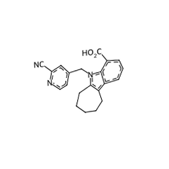 N#Cc1cc(Cn2c3c(c4cccc(C(=O)O)c42)CCCCC3)ccn1